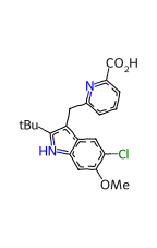 COc1cc2[nH]c(C(C)(C)C)c(Cc3cccc(C(=O)O)n3)c2cc1Cl